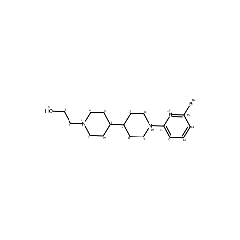 OCCN1CCC(C2CCN(c3cccc(Br)n3)CC2)CC1